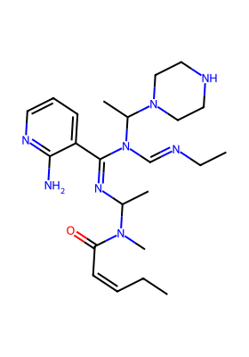 CC/C=C\C(=O)N(C)C(C)/N=C(/c1cccnc1N)N(/C=N/CC)C(C)N1CCNCC1